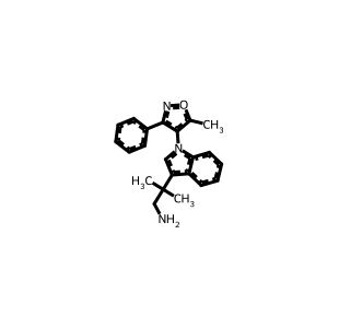 Cc1onc(-c2ccccc2)c1-n1cc(C(C)(C)CN)c2ccccc21